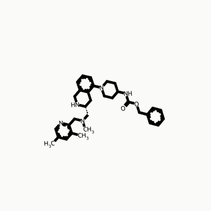 Cc1cnc(CN(C)C[C@H]2Cc3c(cccc3N3CCC(NC(=O)OCc4ccccc4)CC3)CN2)c(C)c1